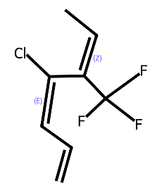 C=C/C=C(Cl)\C(=C/C)C(F)(F)F